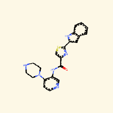 O=C(Nc1cnccc1N1CCNCC1)c1csc(-c2cc3ccccc3[nH]2)n1